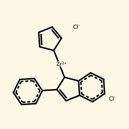 C1=C[CH]([Zr+2][CH]2C(c3ccccc3)=Cc3ccccc32)C=C1.[Cl-].[Cl-]